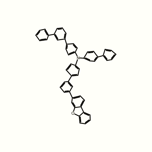 c1ccc(-c2ccc(N(c3ccc(-c4cccc(-c5ccccc5)c4)cc3)c3ccc(-c4cccc(-c5ccc6c(c5)oc5ccccc56)c4)cc3)cc2)cc1